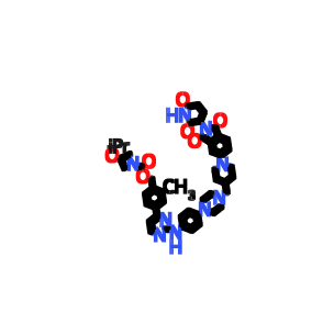 Cc1cc(-c2ccnc(Nc3ccc(N4CCN(CC5CCN(c6ccc7c(c6)C(=O)N(C6CCC(=O)NC6=O)C7=O)CC5)CC4)cc3)n2)ccc1COC(=O)N1CC(OC(C)C)C1